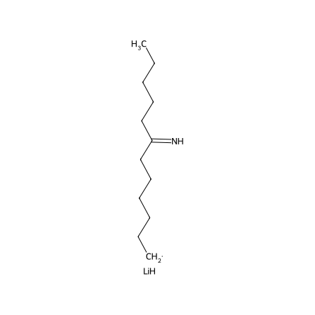 [CH2]CCCCCC(=N)CCCCC.[LiH]